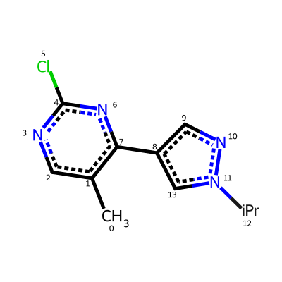 Cc1cnc(Cl)nc1-c1cnn(C(C)C)c1